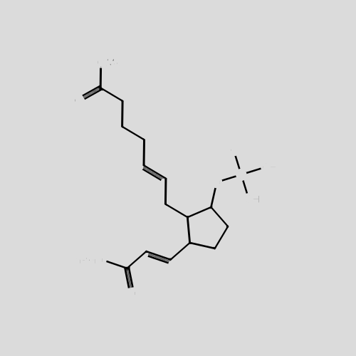 CCCCCC(=O)C=CC1CCC(O[Si](C)(C)C)C1CC=CCCCC(=O)OC